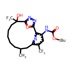 CC1CCCCCC(O)(C(F)(F)F)c2nnc(o2)-c2nc(c(C(F)(F)F)cc2NC(=O)OC(C)(C)C)C1